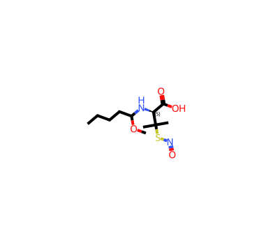 CCCCC(N[C@@H](C(=O)O)C(C)(C)SN=O)OC